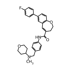 CN(Cc1ccc(NC(=O)C2=Cc3cc(-c4ccc(F)cc4)ccc3OCC2)cc1)C1CCOCC1